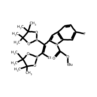 CC/C(B1OC(C)(C)C(C)(C)O1)=C(/B1OC(C)(C)C(C)(C)O1)c1cc2ccc(F)cc2n1C(=O)OC(C)(C)C